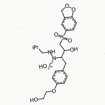 CC(C)CNN(C(=O)O)C(Cc1ccc(OCCO)cc1)C(O)CS(=O)(=O)c1ccc2c(c1)COO2